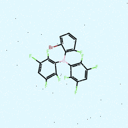 Fc1cc(F)c(F)c(B(c2c(F)cccc2Br)c2c(F)c(F)cc(F)c2F)c1F